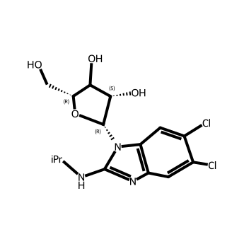 CC(C)Nc1nc2cc(Cl)c(Cl)cc2n1[C@@H]1O[C@H](CO)C(O)[C@@H]1O